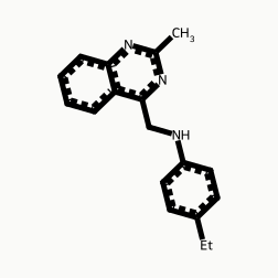 CCc1ccc(NCc2nc(C)nc3ccccc23)cc1